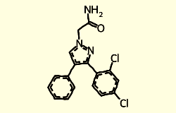 NC(=O)Cn1cc(-c2ccccc2)c(-c2ccc(Cl)cc2Cl)n1